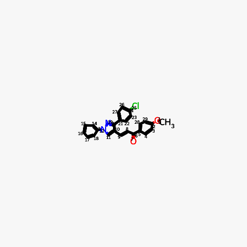 COc1ccc(C(=O)/C=C/c2cn(-c3ccccc3)nc2-c2ccc(Cl)cc2)cc1